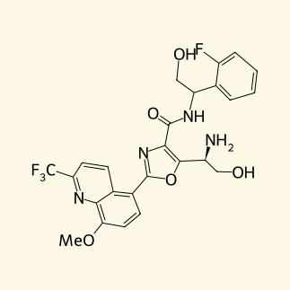 COc1ccc(-c2nc(C(=O)NC(CO)c3ccccc3F)c([C@@H](N)CO)o2)c2ccc(C(F)(F)F)nc12